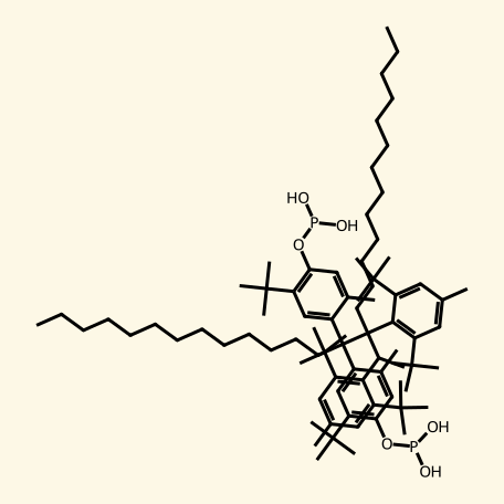 CCCCCCCCCCCCCC(c1cc(C(C)(C)C)c(OP(O)O)cc1C)(c1cc(C(C)(C)C)c(OP(O)O)cc1C)C(CCCCCCCCCCCCC)(c1c(C(C)(C)C)cc(C)cc1C(C)(C)C)C(C)c1c(C(C)(C)C)cc(C)cc1C(C)(C)C